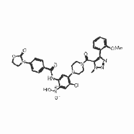 COc1ccccc1-c1nnn(C)c1C(=O)N1CCN(c2cc(NC(=O)c3ccc(N4CCOC4=O)cc3)c([NH+]([O-])O)cc2Cl)CC1